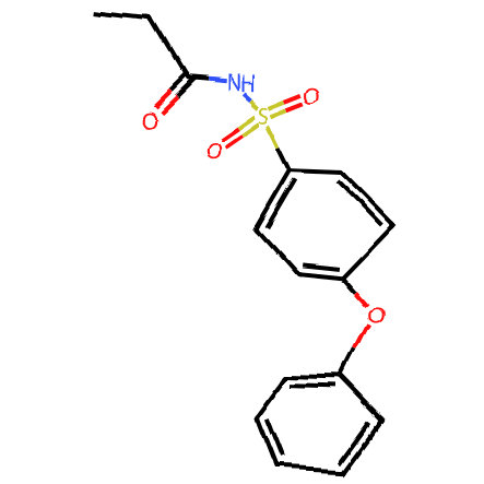 CCC(=O)NS(=O)(=O)c1ccc(Oc2ccccc2)cc1